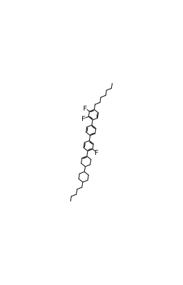 CCCCCCCc1ccc(-c2ccc(-c3ccc(C4=CCC(C5CCC(CCCCC)CC5)CC4)c(F)c3)cc2)c(F)c1F